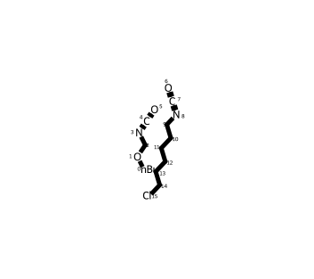 CCCCOCN=C=O.O=C=NCCCCCCCl